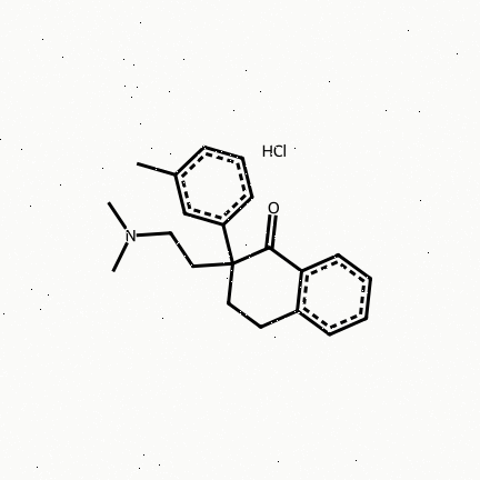 Cc1cccc(C2(CCN(C)C)CCc3ccccc3C2=O)c1.Cl